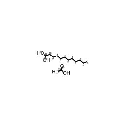 CCCCCCCCCCCC(O)O.O=C(O)O